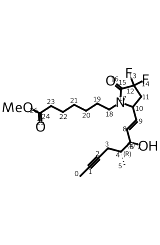 CC#CC[C@@H](C)[C@H](O)C=CC1CC(F)(F)C(=O)N1CCCCCCC(=O)OC